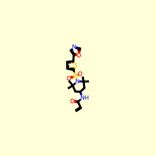 C=CC(=O)NC1CC(C)(C)N(S(=O)(=O)c2ccc(-c3cnco3)s2)C(C)(C)C1